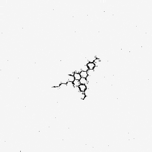 CCCCOC(=O)C1=C(C)NC2=C(C(=O)CC(c3ccc(OC)cc3)C2)C1c1ccc(CC)cc1